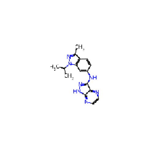 Cc1nn(C(C)C)c2cc(Nc3n[nH]c4nccnc34)ccc12